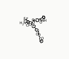 Nc1c(Cl)cc(C[C@@H](OC(=O)N2CCC(N3Cc4ccccc4NC3=O)CC2)C(=O)N2CCC(C3CCN(CC(=O)OCCCN4CCCCC4=O)CC3)CC2)cc1C(F)(F)F